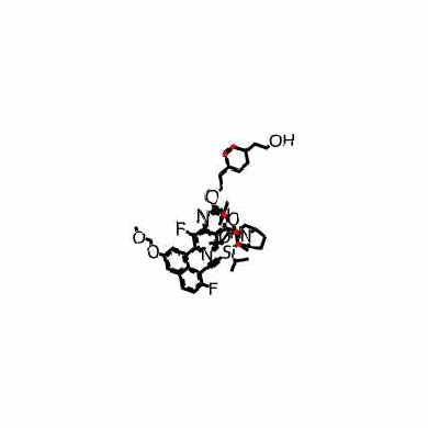 COCOc1cc(-c2ncc3c(N4CC5CCC(C4)N5C(=O)OC(C)(C)C)nc(OCCC45CCC(CCO)(CC4)CC5)nc3c2F)c2c(C#C[Si](C(C)C)(C(C)C)C(C)C)c(F)ccc2c1